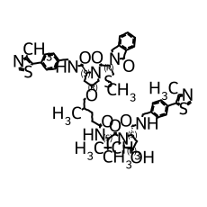 CSC[C@@H](C(=O)N1C[C@H](OCC(C)CCC(=O)N[C@H](C(=O)N2C[C@H](O)C[C@H]2C(=O)NCc2ccc(-c3scnc3C)cc2)C(C)(C)C)C[C@H]1C(=O)NCc1ccc(-c2scnc2C)cc1)N1Cc2ccccc2C1=O